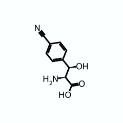 N#Cc1ccc([C@@H](O)[C@H](N)C(=O)O)cc1